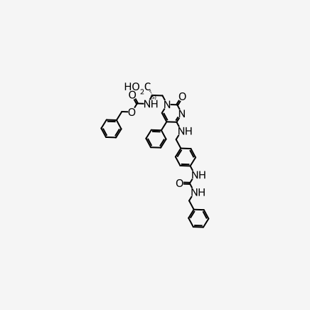 O=C(NCc1ccccc1)Nc1ccc(CNc2nc(=O)n(C[C@H](NC(=O)OCc3ccccc3)C(=O)O)cc2-c2ccccc2)cc1